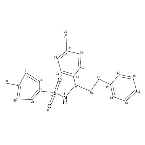 Cc1ccc(S(=O)(=O)NC(CCc2ccccc2)c2ccc(F)cc2)cc1